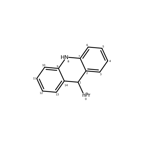 CCCC1c2ccccc2Nc2ccccc21